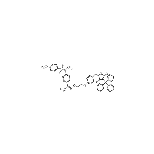 CC(=NOCCOc1ccc(CC2SC(=O)N(C(c3ccccc3)(c3ccccc3)c3ccccc3)C2=O)cc1)c1ccc(N(C)S(=O)(=O)c2ccc(C)cc2)nc1